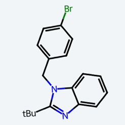 CC(C)(C)c1nc2ccccc2n1Cc1ccc(Br)cc1